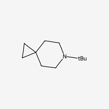 CC(C)(C)N1CCC2(CC1)CC2